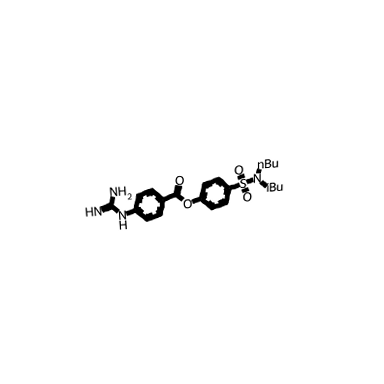 CCCCN(C(C)CC)S(=O)(=O)c1ccc(OC(=O)c2ccc(NC(=N)N)cc2)cc1